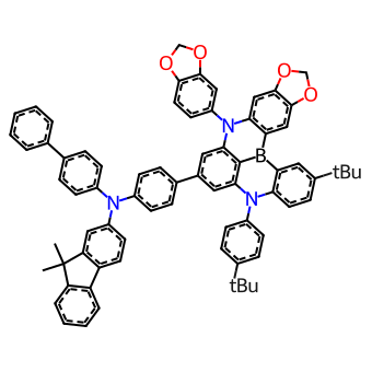 CC(C)(C)c1ccc(N2c3ccc(C(C)(C)C)cc3B3c4cc5c(cc4N(c4ccc6c(c4)OCO6)c4cc(-c6ccc(N(c7ccc(-c8ccccc8)cc7)c7ccc8c(c7)C(C)(C)c7ccccc7-8)cc6)cc2c43)OCO5)cc1